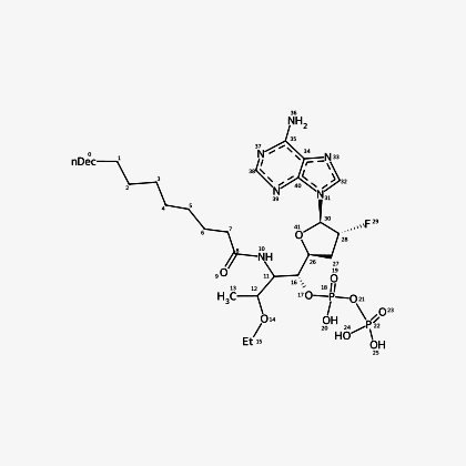 CCCCCCCCCCCCCCCCCC(=O)NC(C(C)OCC)[C@@H](OP(=O)(O)OP(=O)(O)O)[C@@H]1C[C@@H](F)[C@H](n2cnc3c(N)ncnc32)O1